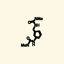 CNC(=O)NCc1cccc(NC(=O)NC)c1